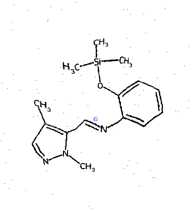 Cc1cnn(C)c1/C=N/c1ccccc1O[Si](C)(C)C